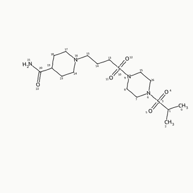 CC(C)S(=O)(=O)N1CCN(S(=O)(=O)CCCN2CCC(C(N)=O)CC2)CC1